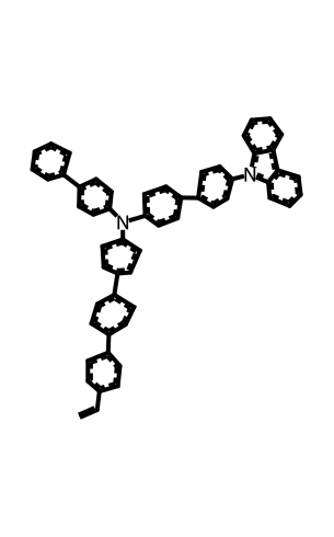 C=Cc1ccc(-c2ccc(-c3ccc(N(c4ccc(-c5ccccc5)cc4)c4ccc(-c5ccc(-n6c7ccccc7c7ccccc76)cc5)cc4)cc3)cc2)cc1